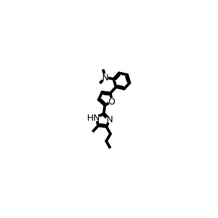 CCCc1nc(-c2ccc(-c3ccccc3N(C)C)o2)[nH]c1C